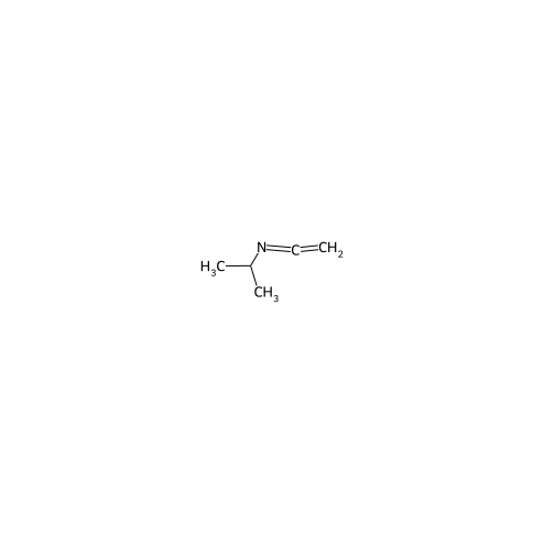 C=C=NC(C)C